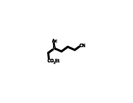 CCOC(=O)CN(CCCC#N)C(C)=O